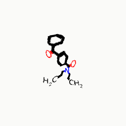 C=CCN(CC=C)C(=O)c1ccc(C(=O)c2ccccc2)cc1